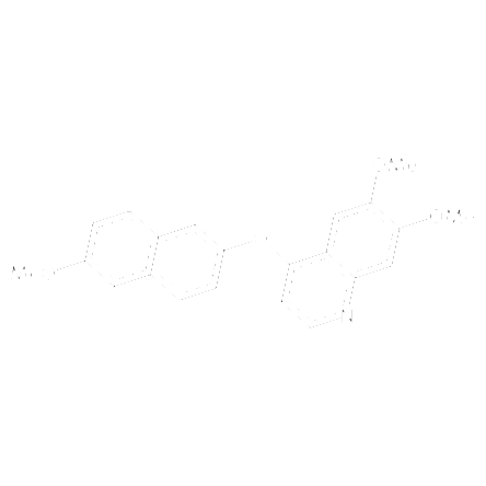 COc1ccc2cc(Oc3ccnc4cc(OC)c(OC)cc34)ccc2c1